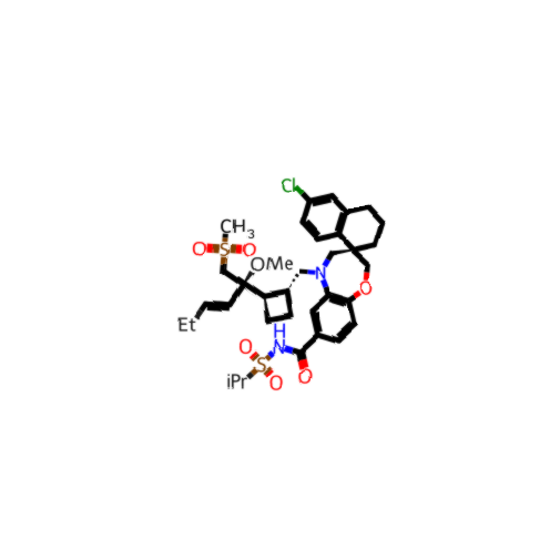 CC/C=C/[C@@](CS(C)(=O)=O)(OC)[C@@H]1CC[C@H]1CN1C[C@@]2(CCCc3cc(Cl)ccc32)COc2ccc(C(=O)NS(=O)(=O)C(C)C)cc21